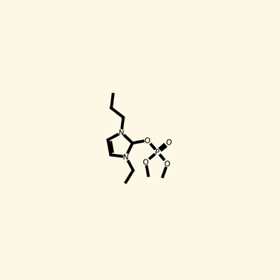 CCCN1C=CN(CC)C1OP(=O)(OC)OC